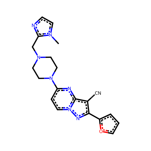 Cn1ccnc1CN1CCN(c2ccn3nc(-c4ccco4)c(C#N)c3n2)CC1